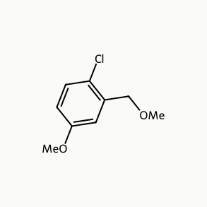 COCc1cc(OC)ccc1Cl